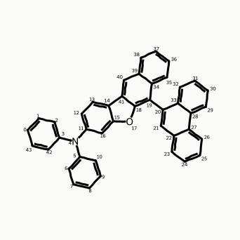 c1ccc(N(c2ccccc2)c2ccc3c(c2)oc2c(-c4cc5ccccc5c5ccccc45)c4ccccc4cc23)cc1